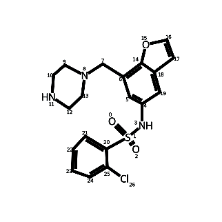 O=S(=O)(Nc1cc(CN2CCNCC2)c2occc2c1)c1ccccc1Cl